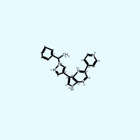 CC(c1ccccc1)n1cc(-c2c[nH]c3ncc(-c4ccncc4)nc23)cn1